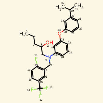 CCCC(O)CN(Cc1cc(C(F)(F)F)ccc1F)c1cccc(Oc2cccc(C(C)C)c2)c1